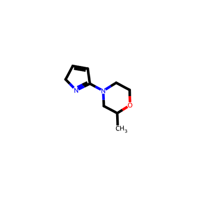 CC1CN(C2=NCC=C2)CCO1